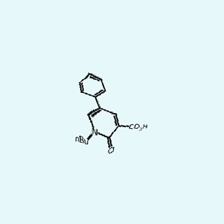 CCCCn1cc(-c2ccccc2)cc(C(=O)O)c1=O